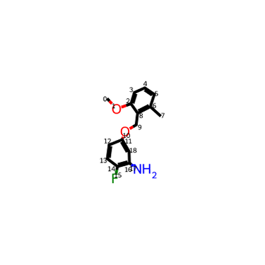 COc1cccc(C)c1COc1ccc(F)c(N)c1